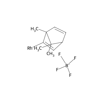 CC12C=CC(C=[C]1[Rh])C2(C)C.F[B-](F)(F)F